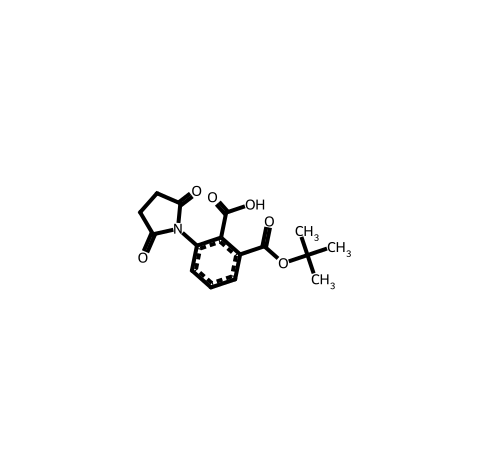 CC(C)(C)OC(=O)c1cccc(N2C(=O)CCC2=O)c1C(=O)O